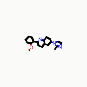 COc1ccccc1-c1ccc2cc(-n3ccnc3C)ccc2n1